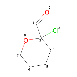 O=CC1(Cl)CCCCO1